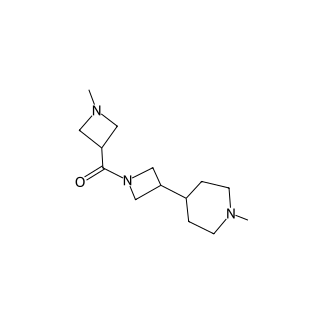 CN1CCC(C2CN(C(=O)C3CN(C)C3)C2)CC1